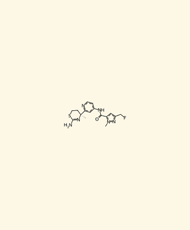 Cn1nc(CF)cc1C(=O)Nc1ccnc([C@]2(C)CCSC(N)=N2)c1